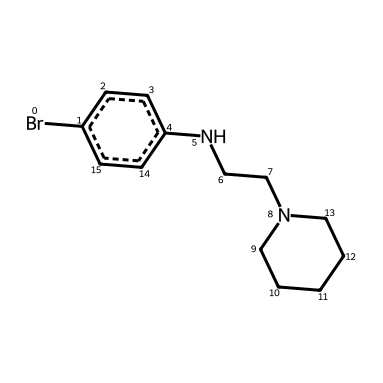 Brc1ccc(NCCN2CCCCC2)cc1